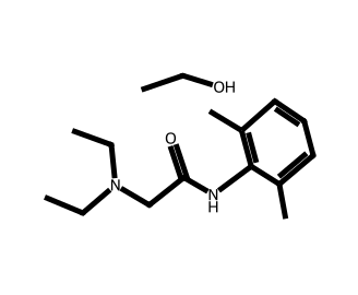 CCN(CC)CC(=O)Nc1c(C)cccc1C.CCO